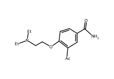 CCN(CC)CCOc1ccc(C(N)=O)cc1C(C)=O